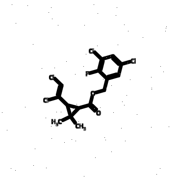 CC1(C)C(C(=O)OCc2cc(Cl)cc(Cl)c2F)C1C(Cl)=CCl